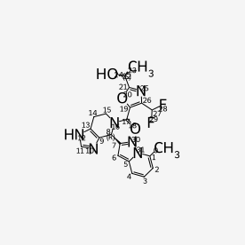 Cc1cccc2cc([C@H]3c4nc[nH]c4CCN3C(=O)c3oc([C@H](C)O)nc3C(F)F)nn12